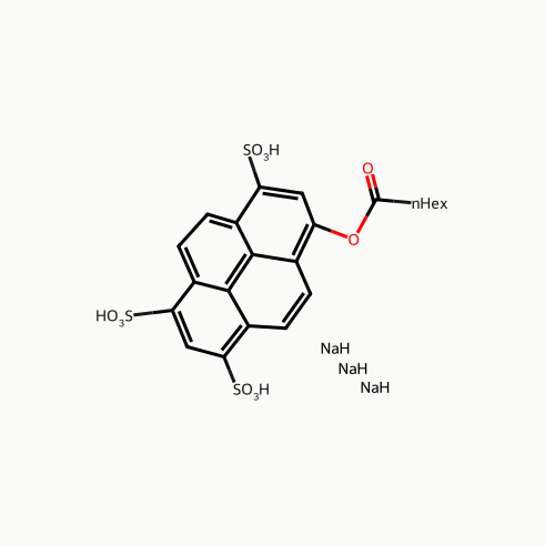 CCCCCCC(=O)Oc1cc(S(=O)(=O)O)c2ccc3c(S(=O)(=O)O)cc(S(=O)(=O)O)c4ccc1c2c43.[NaH].[NaH].[NaH]